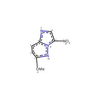 COc1ccc2ncc([N+](=O)[O-])n2n1